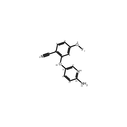 N#Cc1ccc(OF)cc1Oc1ccc(N)nc1